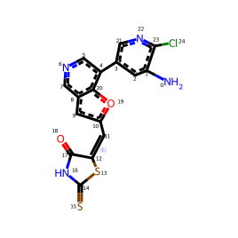 Nc1cc(-c2cncc3cc(/C=C4/SC(=S)NC4=O)oc23)cnc1Cl